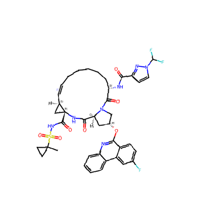 CC1(S(=O)(=O)NC(=O)[C@@]23C[C@H]2/C=C\CCCCC[C@H](NC(=O)c2ccn(C(F)F)n2)C(=O)N2C[C@H](Oc4nc5ccccc5c5cc(F)ccc45)C[C@H]2C(=O)N3)CC1